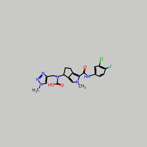 Cn1cc(CN(C(=O)O)C2CCc3c2cn(C)c3C(=O)Nc2ccc(F)c(Cl)c2)nn1